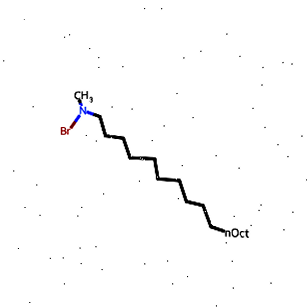 CCCCCCCCCCCCCCCCCCN(C)Br